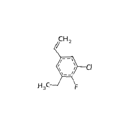 C=Cc1cc(Cl)c(F)c(CC)c1